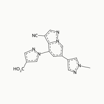 Cn1cc(-c2cc(-n3cc(C(=O)O)cn3)c3c(C#N)cnn3c2)cn1